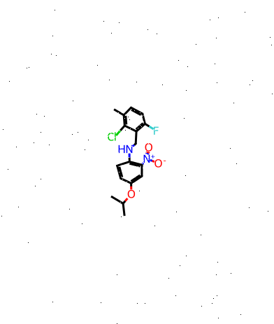 Cc1ccc(F)c(CNc2ccc(OC(C)C)cc2[N+](=O)[O-])c1Cl